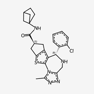 Cc1nnc2n1-c1sc3c(c1[C@H](c1ccccc1Cl)NC2)C[C@H](C(=O)NC12CCC(C1)C2)C3